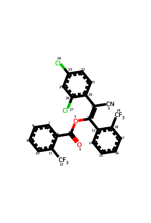 N#CC(=C(OC(=O)c1ccccc1C(F)(F)F)c1ccccc1C(F)(F)F)c1ccc(Cl)cc1Cl